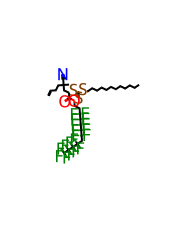 C=CCCC(C)(C#N)CC(SC(=S)SCCCCCCCCCCCC)C(=O)OCCC(F)(F)C(F)(F)C(F)(F)C(F)(F)C(F)(F)CC(F)(F)C(F)(F)C(F)(F)C(F)(F)F